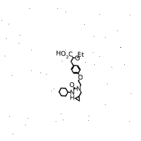 CCOC(Cc1ccc(OCCN(CC2CC2)C(=O)NC2CCCCC2)cc1)C(=O)O